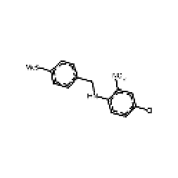 CSc1ccc(CNc2ccc(Cl)cc2[N+](=O)[O-])cc1